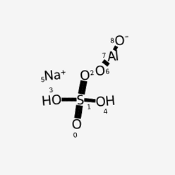 O=S(=O)(O)O.[Na+].[O]=[Al][O-]